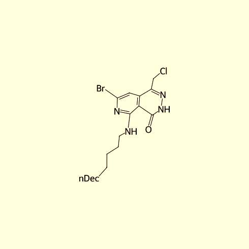 CCCCCCCCCCCCCCNc1nc(Br)cc2c(CCl)n[nH]c(=O)c12